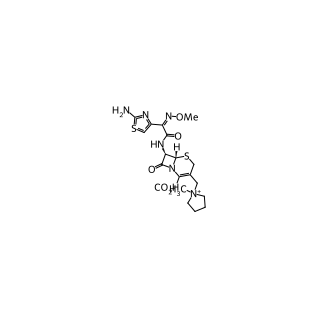 CO/N=C(\C(=O)N[C@@H]1C(=O)N2C(C(=O)O)=C(C[N+]3(C)CCCC3)CS[C@@H]12)c1csc(N)n1